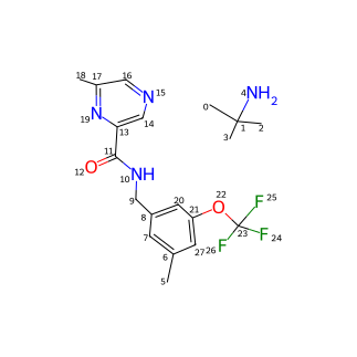 CC(C)(C)N.Cc1cc(CNC(=O)c2cncc(C)n2)cc(OC(F)(F)F)c1